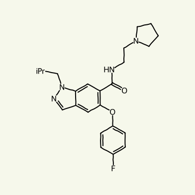 CC(C)Cn1ncc2cc(Oc3ccc(F)cc3)c(C(=O)NCCN3CCCC3)cc21